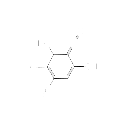 CC1=CC(C)=C(O)C(C)C1=C=O